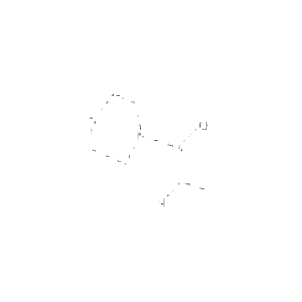 CC([NH])C(=O)N1CCOCC1